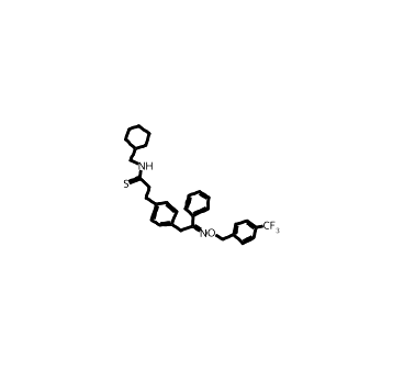 FC(F)(F)c1ccc(CON=C(Cc2ccc(CCC(=S)NCC3CCCCC3)cc2)c2ccccc2)cc1